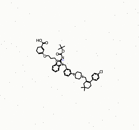 CC1(C)CCC(c2ccc(Cl)cc2)=C(CN2CCN(c3cccc(Cn4/c(=N/C(=O)OC(C)(C)C)n(CCCOC5=CCCC(C(=O)O)=C5)c5ccccc54)c3)CC2)C1